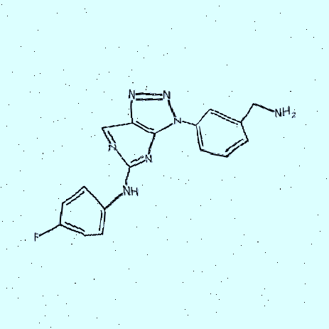 NCc1cccc(-n2nnc3cnc(Nc4ccc(F)cc4)nc32)c1